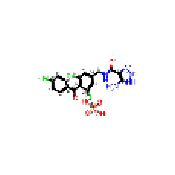 Nc1[nH]nnc1C(=O)NCc1cc(Cl)c(C(=O)c2ccc(Cl)cc2)c(Cl)c1.O=P(O)(O)O